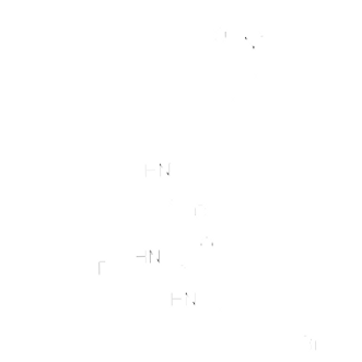 O=C(Nc1ccc(Br)cc1)NC(C(=O)Nc1ccc(-c2cccc[n+]2[O-])cc1)c1ccccc1F